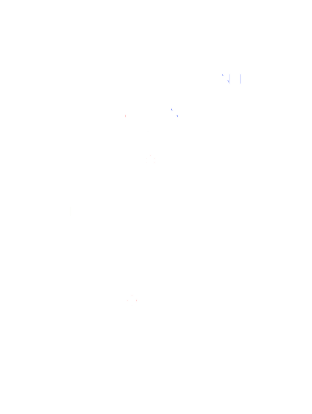 CC(C)Oc1cc(F)c(COC(=O)N2C(C)CNCC2C)c(F)c1